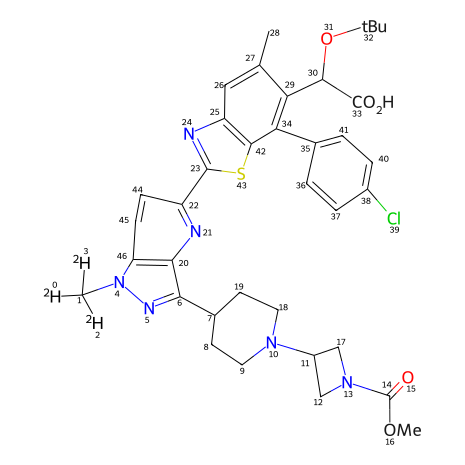 [2H]C([2H])([2H])n1nc(C2CCN(C3CN(C(=O)OC)C3)CC2)c2nc(-c3nc4cc(C)c(C(OC(C)(C)C)C(=O)O)c(-c5ccc(Cl)cc5)c4s3)ccc21